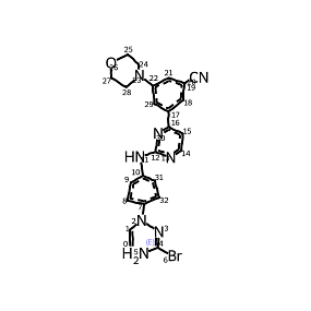 C=CN(/N=C(\N)Br)c1ccc(Nc2nccc(-c3cc(C#N)cc(N4CCOCC4)c3)n2)cc1